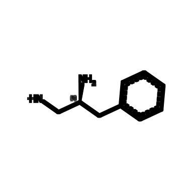 [NH]C[C@@H](N)Cc1ccccc1